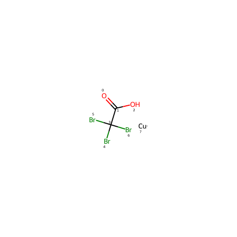 O=C(O)C(Br)(Br)Br.[Cu]